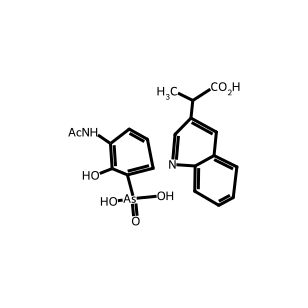 CC(=O)Nc1cccc([As](=O)(O)O)c1O.CC(C(=O)O)c1cnc2ccccc2c1